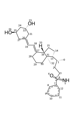 C[C@H](CCS(=N)(=O)c1ccccc1)[C@H]1CC[C@H]2/C(=C/C=C3C[C@@H](O)C[C@H](O)C3)CCC[C@]12C